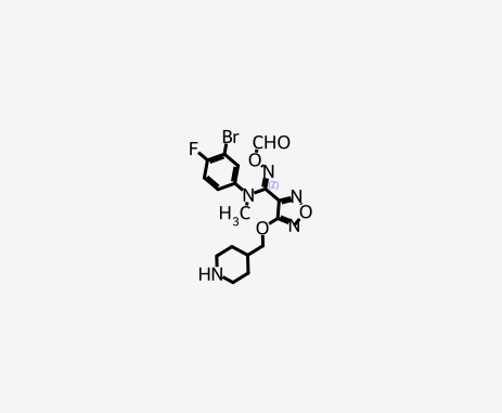 CN(/C(=N\OC=O)c1nonc1OCC1CCNCC1)c1ccc(F)c(Br)c1